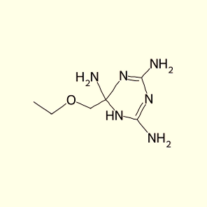 CCOCC1(N)N=C(N)N=C(N)N1